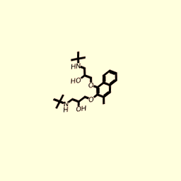 Cc1cc2ccccc2c(OCC(O)CNC(C)(C)C)c1OCC(O)CNC(C)(C)C